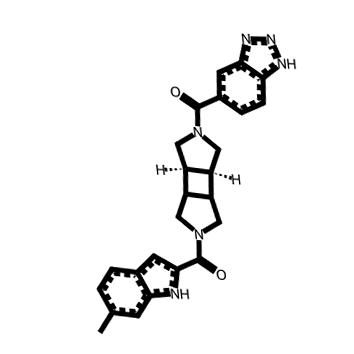 Cc1ccc2cc(C(=O)N3CC4C(C3)[C@@H]3CN(C(=O)c5ccc6[nH]nnc6c5)C[C@H]43)[nH]c2c1